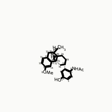 CC(=O)Nc1ccc(O)cc1.COc1ccc2c(c1)[C@]13CCCC[C@@H]1[C@H](C2)N(C)CC3